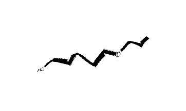 C=CCOC=CCC=CO